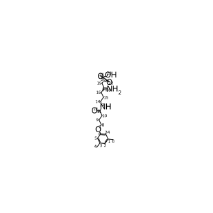 Cc1cc(C)cc(OCCCC(=O)NCCC[C@@H](N)CS(=O)(=O)O)c1